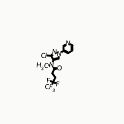 CN(C(=O)CCC(F)(F)C(F)(F)F)c1cn(-c2cccnc2)nc1Cl